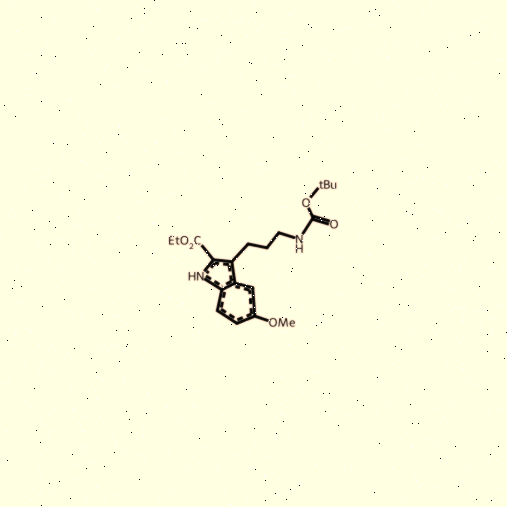 CCOC(=O)c1[nH]c2ccc(OC)cc2c1CCCNC(=O)OC(C)(C)C